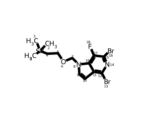 C[Si](C)(C)CCOCn1ccc2c(Br)nc(Br)c(F)c21